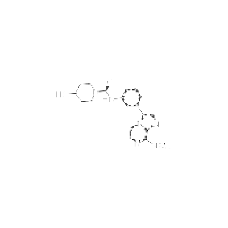 CNc1nccn2c(-c3cccc(NC(=O)N4CCC(O)CC4)c3)cnc12